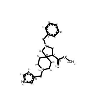 COC(=O)C1CN(Cc2ccccc2)CC12CCN(Cc1c[nH]cn1)CC2